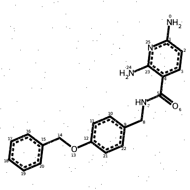 Nc1ccc(C(=O)NCc2ccc(OCc3ccccc3)cc2)c(N)n1